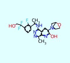 Cc1nnc(N[C@H](C)c2cccc(C(F)(F)CO)c2F)c2cc(N3CC4CC3CO4)c(O)nc12